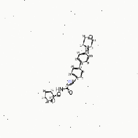 O=C(/C=C/c1ccc(-c2ccc(N3CCOCC3)cc2)cc1)NOC1CCCCO1